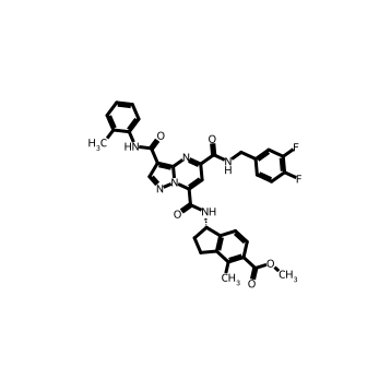 COC(=O)c1ccc2c(c1C)CC[C@@H]2NC(=O)c1cc(C(=O)NCc2ccc(F)c(F)c2)nc2c(C(=O)Nc3ccccc3C)cnn12